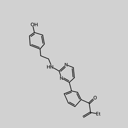 C=C(CC)C(=O)c1cccc(-c2ccnc(NCCc3ccc(O)cc3)n2)c1